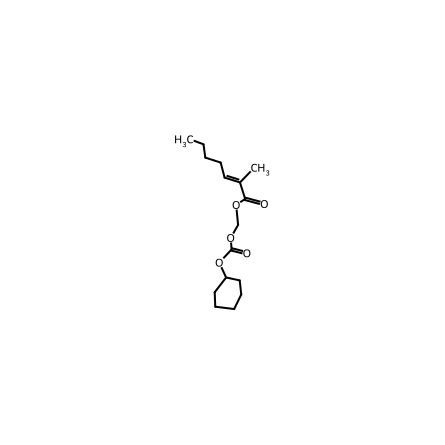 CCCCC=C(C)C(=O)OCOC(=O)OC1CCCCC1